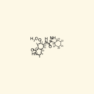 COc1cc2c(=O)[nH]ccc2cc1NC(=O)[C@H](N)C1CCCCC1